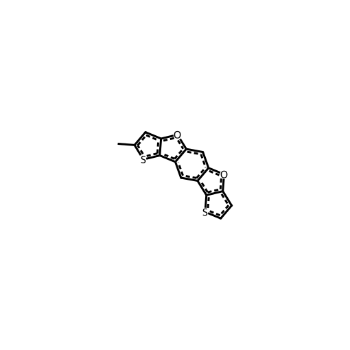 Cc1cc2oc3cc4oc5ccsc5c4cc3c2s1